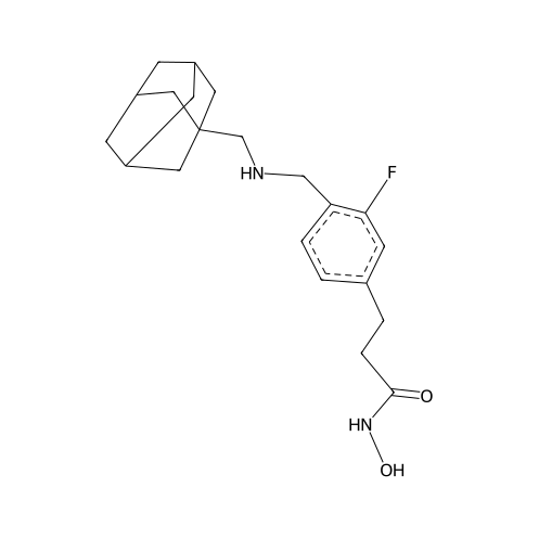 O=C(CCc1ccc(CNCC23CC4CC(CC(C4)C2)C3)c(F)c1)NO